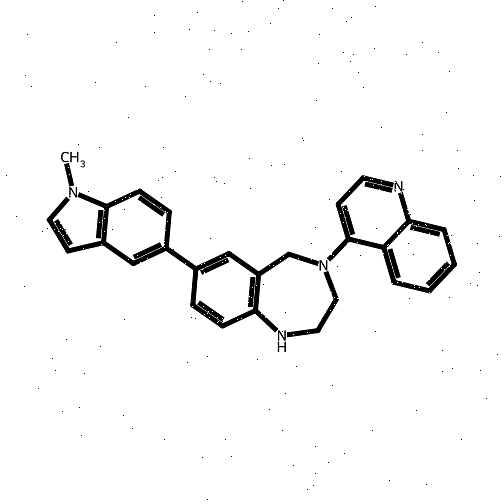 Cn1ccc2cc(-c3ccc4c(c3)CN(c3ccnc5ccccc35)CCN4)ccc21